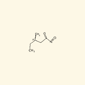 CC[C@@H](C)CC(=O)N=O